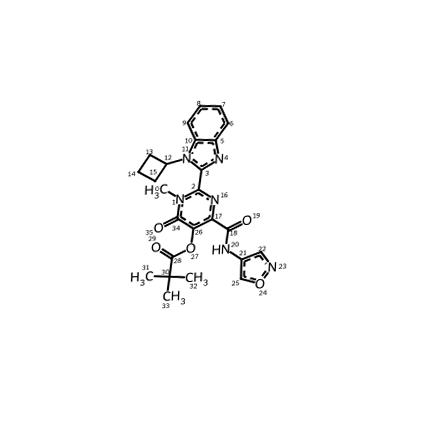 Cn1c(-c2nc3ccccc3n2C2CCC2)nc(C(=O)Nc2cnoc2)c(OC(=O)C(C)(C)C)c1=O